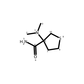 CN(C)C1(C(N)=O)CCSC1